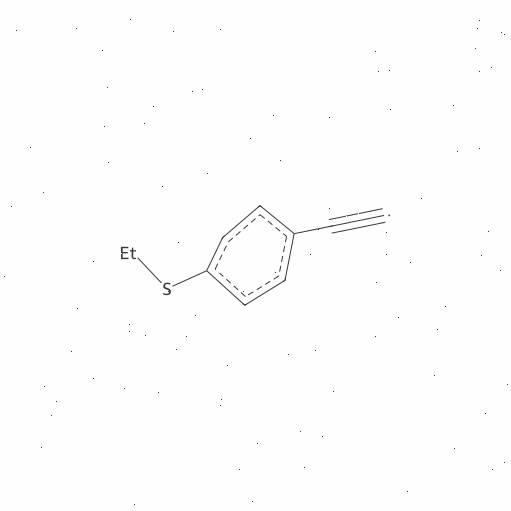 [C]#Cc1ccc(SCC)cc1